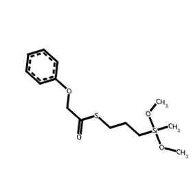 CO[Si](C)(CCCSC(=O)COc1ccccc1)OC